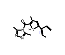 C=C/C(=C\C)c1cc(C)c(C(=O)n2c(C)nnc2C)[nH]1